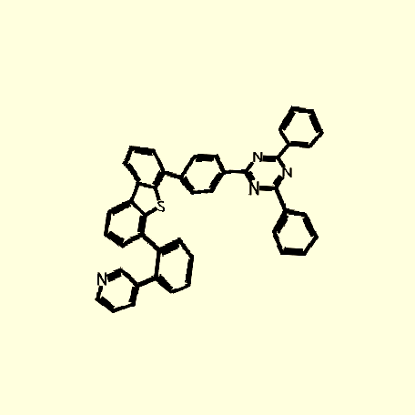 c1ccc(-c2nc(-c3ccccc3)nc(-c3ccc(-c4cccc5c4sc4c(-c6ccccc6-c6cccnc6)cccc45)cc3)n2)cc1